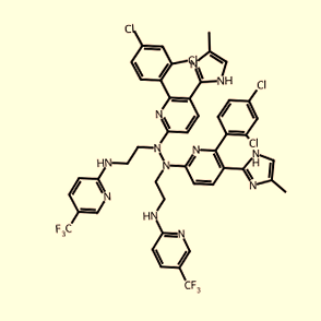 Cc1c[nH]c(-c2ccc(N(CCNc3ccc(C(F)(F)F)cn3)N(CCNc3ccc(C(F)(F)F)cn3)c3ccc(-c4nc(C)c[nH]4)c(-c4ccc(Cl)cc4Cl)n3)nc2-c2ccc(Cl)cc2Cl)n1